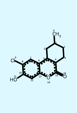 CC1CCc2c(c3cc(Cl)c(O)cc3oc2=O)C1